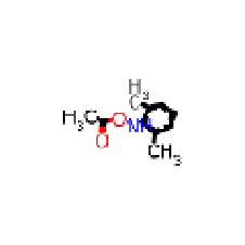 CC(=O)ONc1c(C)cccc1C